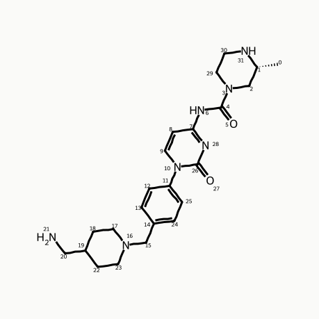 C[C@@H]1CN(C(=O)Nc2ccn(-c3ccc(CN4CCC(CN)CC4)cc3)c(=O)n2)CCN1